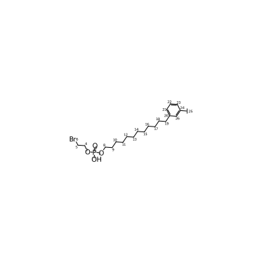 O=P(O)(OCCBr)OCCCCCCCCCCCCc1cccc(I)c1